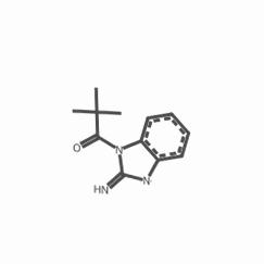 CC(C)(C)C(=O)N1C(=N)[N]c2ccccc21